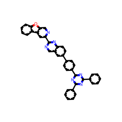 c1ccc(-c2nc(-c3ccccc3)nc(-c3ccc(-c4ccc5nc(-c6cc7c(cn6)oc6ccccc67)ncc5c4)cc3)n2)cc1